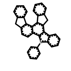 c1ccc(-n2c3ccccc3c3c4c(c5c6c(ccc5c32)Cc2ccccc2-6)-c2ccccc2C4)cc1